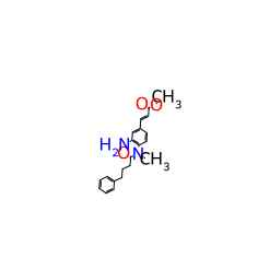 COC(=O)/C=C/c1ccc(N(C)C(=O)CCCc2ccccc2)c(N)c1